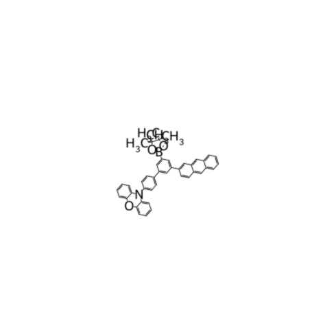 CC1(C)OB(c2cc(-c3ccc(N4c5ccccc5Oc5ccccc54)cc3)cc(-c3ccc4cc5ccccc5cc4c3)c2)OC1(C)C